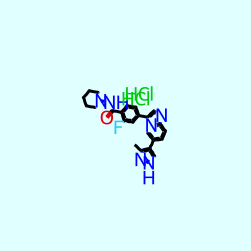 Cc1n[nH]cc1-c1ccc2ncc(-c3ccc(C(=O)NN4CCCCC4)c(F)c3)n2c1.Cl.Cl